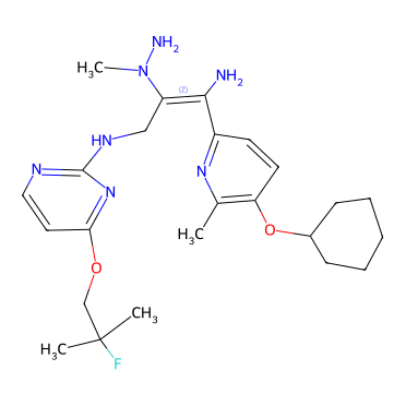 Cc1nc(/C(N)=C(\CNc2nccc(OCC(C)(C)F)n2)N(C)N)ccc1OC1CCCCC1